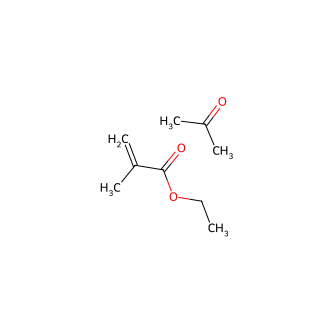 C=C(C)C(=O)OCC.CC(C)=O